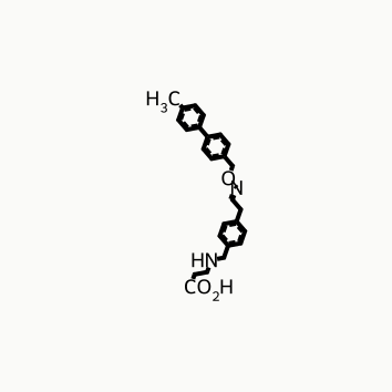 Cc1ccc(-c2ccc(CON=CCc3ccc(CNCCC(=O)O)cc3)cc2)cc1